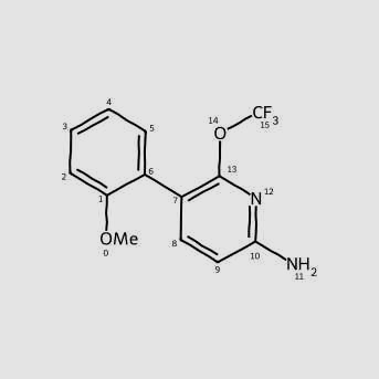 COc1ccccc1-c1ccc(N)nc1OC(F)(F)F